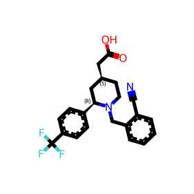 N#Cc1ccccc1CN1CC[C@H](CC(=O)O)C[C@@H]1c1ccc(C(F)(F)F)cc1